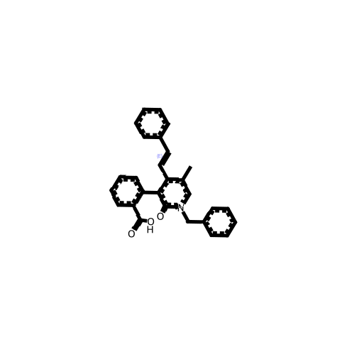 Cc1cn(Cc2ccccc2)c(=O)c(-c2ccccc2C(=O)O)c1/C=C/c1ccccc1